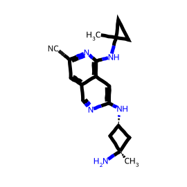 CC1(Nc2nc(C#N)cc3cnc(N[C@H]4C[C@](C)(N)C4)cc23)CC1